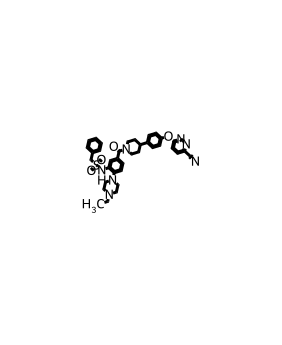 CCN1CCN(c2ccc(C(=O)N3CCC(c4ccc(Oc5ccc(C#N)nn5)cc4)CC3)cc2NS(=O)(=O)Cc2ccccc2)CC1